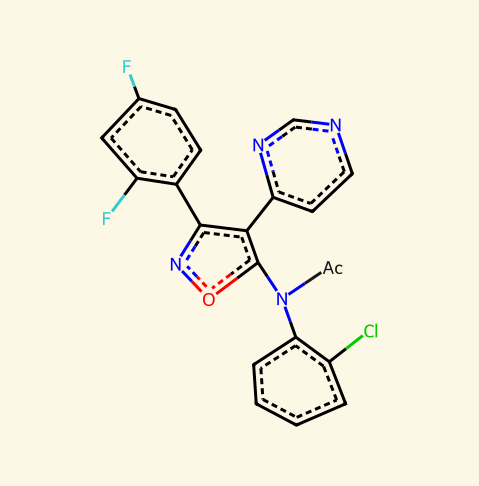 CC(=O)N(c1ccccc1Cl)c1onc(-c2ccc(F)cc2F)c1-c1ccncn1